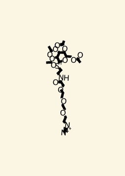 CC(=O)OCC1O[C@@H](SCCNC(=O)COCCOCCOCCN=[N+]=[N-])C(OC(C)=O)C(OC(C)=O)[C@@H]1OC(C)=O